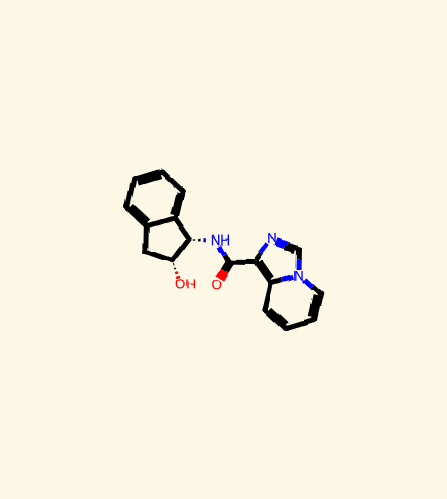 O=C(N[C@H]1c2ccccc2C[C@H]1O)c1ncn2ccccc12